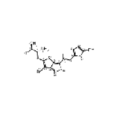 C[C@H](F)[C@H](N)Cc1sc2c(NCc3ccc(F)s3)snc2c1Br